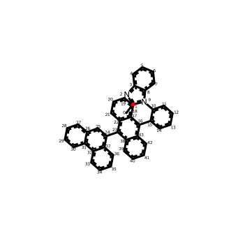 Cc1nc2ccccc2n1-c1ccccc1-c1c2ccccc2c(-c2cc3ccccc3c3ccccc23)c2ccccc12